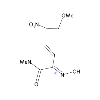 CNC(=O)/C(C=CC(COC)[N+](=O)[O-])=N/O